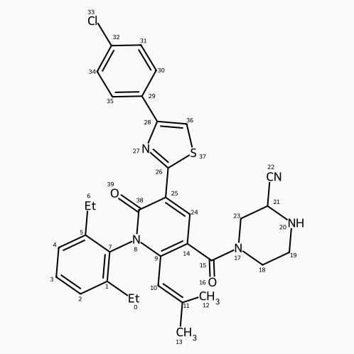 CCc1cccc(CC)c1-n1c(C=C(C)C)c(C(=O)N2CCNC(C#N)C2)cc(-c2nc(-c3ccc(Cl)cc3)cs2)c1=O